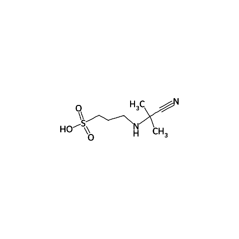 CC(C)(C#N)NCCCS(=O)(=O)O